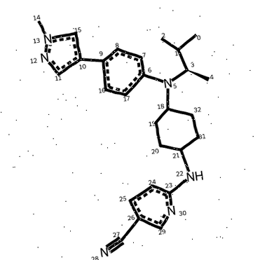 CC(C)[C@@H](C)N(c1ccc(-c2cnn(C)c2)cc1)C1CCC(Nc2ccc(C#N)cn2)CC1